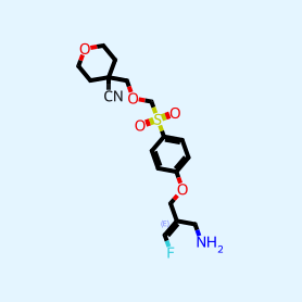 N#CC1(COCS(=O)(=O)c2ccc(OC/C(=C/F)CN)cc2)CCOCC1